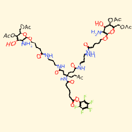 CC(=O)CCC(CCC(=O)NCCCNC(=O)CCCCOC1OC(COC(C)=O)C(OC(C)=O)C(O)C1N)(CCC(=O)NCCCNC(=O)CCCCOC1OC(COC(C)=O)C(OC(C)=O)C(O)C1N)NC(=O)CCCC(=O)Oc1c(F)c(F)c(F)c(F)c1F